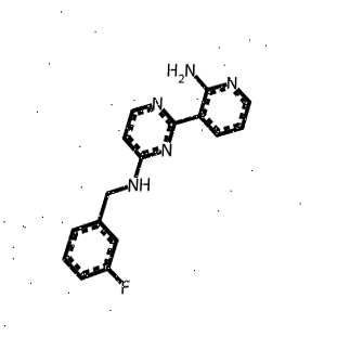 Nc1ncccc1-c1nccc(NCc2cccc(F)c2)n1